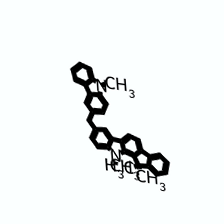 Cn1c2ccccc2c2cc(Cc3ccc4c(c3)c3ccc5c(c3n4C)C(C)(C)c3ccccc3-5)ccc21